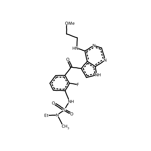 CCN(C)S(=O)(=O)Nc1cccc(C(=O)c2c[nH]c3ncnc(NCCOC)c23)c1F